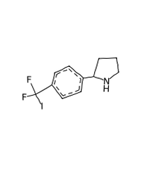 FC(F)(I)c1ccc(C2CCCN2)cc1